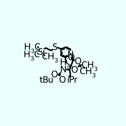 CC(C)CC(NC(=O)OC(C)(C)C)[C@@]1(Cc2cc(SCC[Si](C)(C)C)ccn2)OC(C)(C)OC1=O